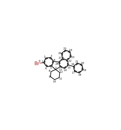 Brc1ccc2c(c1)C1(CCCCC1)c1cc(-c3ccccc3)c3ccccc3c1-2